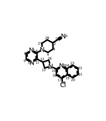 N#CC1CCN(c2nccnc2C2CN(c3cc(Cl)c4ccccc4n3)C2)CC1